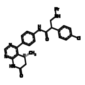 CC(C)NCC(C(=O)Nc1ccc(-c2ncnc3c2[C@H](C)CC(=O)N3)cc1)c1ccc(Cl)cc1